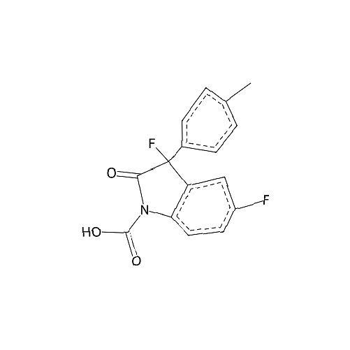 Cc1ccc(C2(F)C(=O)N(C(=O)O)c3ccc(F)cc32)cc1